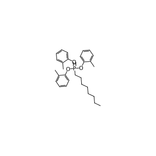 CCCCCCCC[PH](Oc1ccccc1C)(Oc1ccccc1C)Oc1ccccc1C